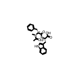 CC(=O)N(C)[C@H](Cc1ccccc1)C(=O)N[C@@H](Cc1c[nH]c2ccccc12)C(=O)O